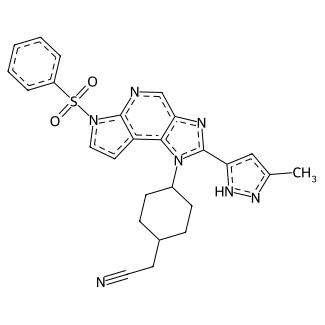 Cc1cc(-c2nc3cnc4c(ccn4S(=O)(=O)c4ccccc4)c3n2C2CCC(CC#N)CC2)[nH]n1